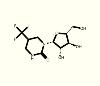 O=C1NCC(C(F)(F)F)CN1[C@@H]1O[C@H](CO)[C@@H](O)[C@@H]1O